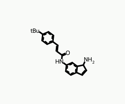 CC(C)(C)c1ccc(/C=C/C(=O)Nc2ccc3c(c2)C(N)C=C3)cc1